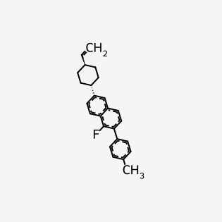 C=C[C@H]1CC[C@H](c2ccc3c(F)c(-c4ccc(C)cc4)ccc3c2)CC1